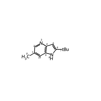 Cc1cnc2cc(C(C)(C)C)[nH]c2c1